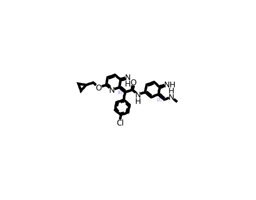 CN/C=C1/C=C(NC(=O)/C(=C2/N=C(OCC3CC3)C=CC2=N)c2ccc(Cl)cc2)C=CC1=N